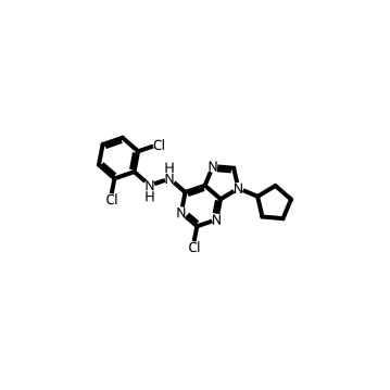 Clc1nc(NNc2c(Cl)cccc2Cl)c2ncn(C3CCCC3)c2n1